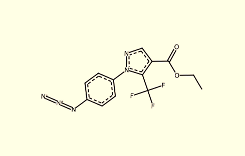 CCOC(=O)c1cnn(-c2ccc(N=[N+]=[N-])cc2)c1C(F)(F)F